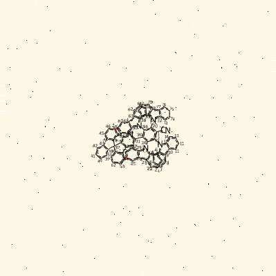 N#Cc1c(-n2c3ccccc3c3ccccc32)c(-n2c3ccccc3c3ccccc32)c(-c2cc3c(cn2)C2(c4ccccc4-c4ccccc42)c2ccccc2-3)c(-n2c3ccccc3c3ccccc32)c1-n1c2ccccc2c2ccccc21